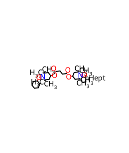 CCCCCCCON1C(C)(C)CC(OC(=O)CCC(=O)OC2CC(C)(C)N(OC3CCCCC3)C(C)(C)C2)CC1(C)C